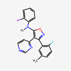 CC(=O)N(c1ccccc1I)c1onc(-c2cc(C)ccc2F)c1-c1ccncn1